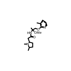 COC(C)(COc1ncccc1C)NC(=O)CC1CCC(C)N1C